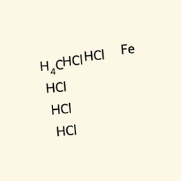 C.Cl.Cl.Cl.Cl.Cl.[Fe]